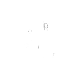 COC(=O)[C@]1(C)CNCC[C@@H]1C(F)F.Cl